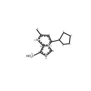 Cc1cc(C2CCCC2)n2cnc(C(=O)O)c2n1